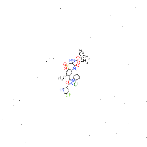 Cc1cc2c(cc1-c1nnc(C3CNCC(F)(F)C3)o1)N(Cc1ccc(Cl)cc1)C(=O)[C@@H](NC(=O)OC(C)(C)C)CS2(=O)=O